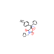 N#Cc1ccc(/C(=C2/OC(=O)N(Cc3ccccc3)C2=O)c2ccccc2)cc1